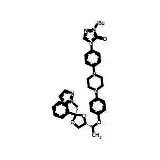 CCC(C)n1ncn(-c2ccc(N3CCN(c4ccc(OC(C)[C@@H]5CO[C@@](Cn6nccn6)(c6ccccc6)O5)cc4)CC3)cc2)c1=O